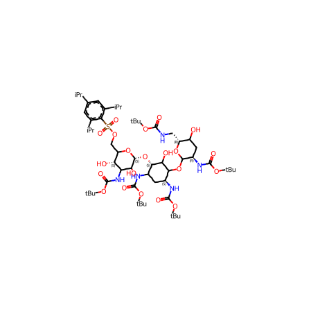 CC(C)c1cc(C(C)C)c(S(=O)(=O)OCC2O[C@H](O[C@H]3C(NC(=O)OC(C)(C)C)C[C@H](NC(=O)OC(C)(C)C)C(OC4O[C@H](CNC(=O)OC(C)(C)C)C(O)C[C@H]4NC(=O)OC(C)(C)C)C3O)C(O)C(NC(=O)OC(C)(C)C)[C@@H]2O)c(C(C)C)c1